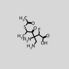 CC(=O)SC(C)C(=O)C(N)(CN)C(F)C(=O)O